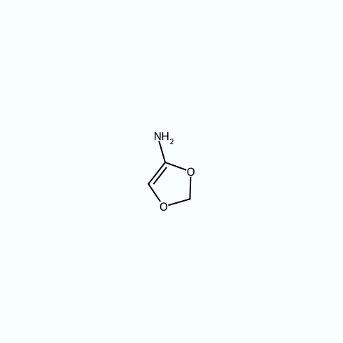 NC1=COCO1